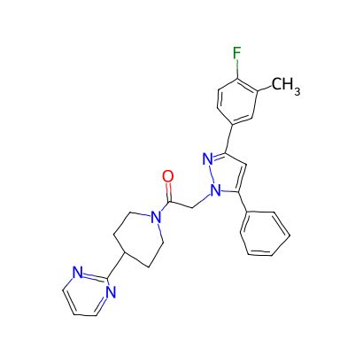 Cc1cc(-c2cc(-c3ccccc3)n(CC(=O)N3CCC(c4ncccn4)CC3)n2)ccc1F